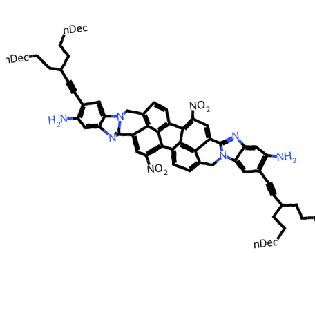 CCCCCCCCCCCCC(C#Cc1cc2c(cc1N)nc1n2Cc2ccc3c4c([N+](=O)[O-])cc5c6c(ccc(c7c([N+](=O)[O-])cc-1c2c37)c64)Cn1c-5nc2cc(N)c(C#CC(CCCCCCCCCCCC)CCCCCCCCCCCC)cc21)CCCCCCCCCCCC